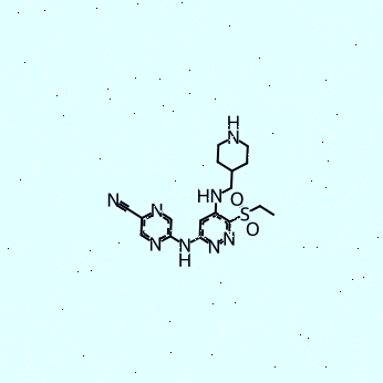 CCS(=O)(=O)c1nnc(Nc2cnc(C#N)cn2)cc1NCC1CCNCC1